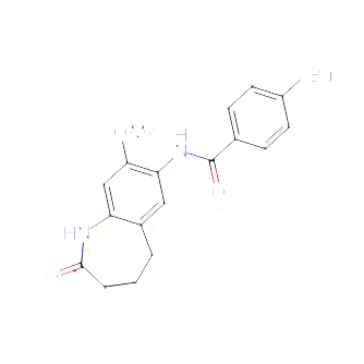 COc1cc2c(cc1NC(=O)c1ccc(C(C)(C)C)cc1)CCCC(=O)N2